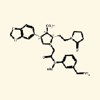 CCCCN(C(=O)CN1C[C@H](c2ccc3c(c2)OCO3)[C@@H](C(=O)O)[C@@H]1CCN1CCCC1=O)c1cccc(CN)c1